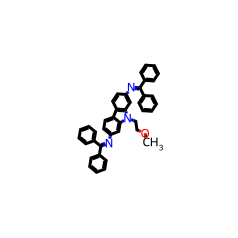 COCCn1c2cc(N=C(c3ccccc3)c3ccccc3)ccc2c2ccc(N=C(c3ccccc3)c3ccccc3)cc21